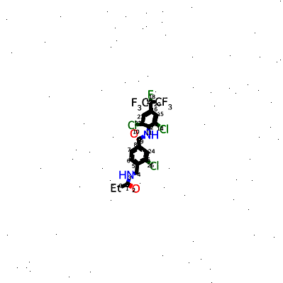 CCC(=O)NCc1ccc(C(=O)NC2C(Cl)=CC(C(F)(C(F)(F)F)C(F)(F)F)=CC2Cl)cc1Cl